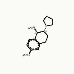 CN[C@@H]1c2ccc(OC)cc2CC[C@H]1N1CCCC1